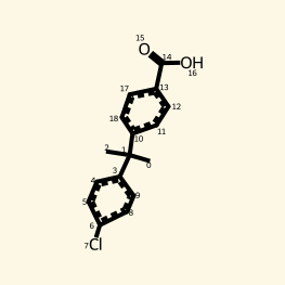 CC(C)(c1ccc(Cl)cc1)c1ccc(C(=O)O)cc1